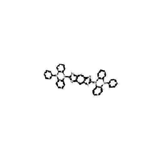 c1ccc(N2c3ccccc3N(c3nc4cc5oc(N6c7ccccc7N(c7ccccc7)c7ccccc76)nc5cc4o3)c3ccccc32)cc1